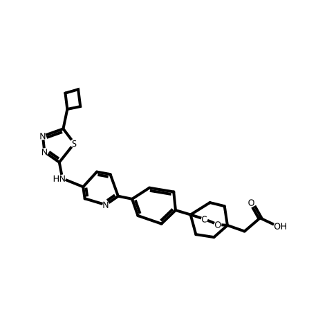 O=C(O)CC12CCC(c3ccc(-c4ccc(Nc5nnc(C6CCC6)s5)cn4)cc3)(CC1)CO2